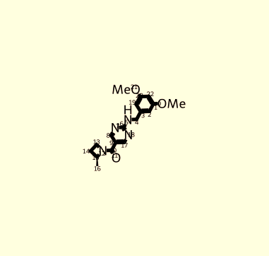 COc1cc(CNc2ncc(C(=O)N3CC[C@@H]3C)cn2)cc(OC)c1